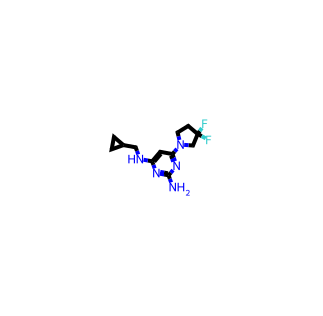 Nc1nc(NCC2CC2)cc(N2CCC(F)(F)C2)n1